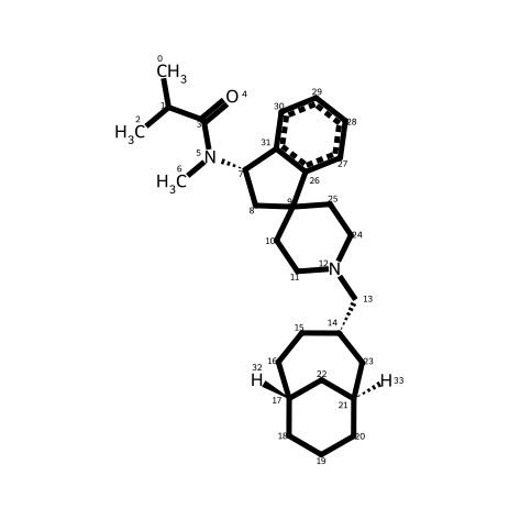 CC(C)C(=O)N(C)[C@H]1CC2(CCN(C[C@H]3CC[C@H]4CCC[C@@H](C4)C3)CC2)c2ccccc21